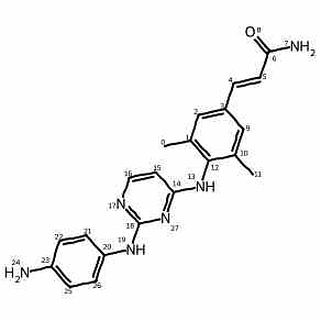 Cc1cc(C=CC(N)=O)cc(C)c1Nc1ccnc(Nc2ccc(N)cc2)n1